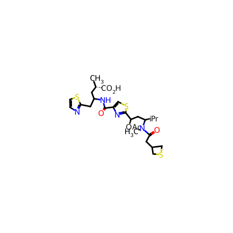 CC(=O)OC(CC(C(C)C)N(C)C(=O)CC1CSC1)c1nc(C(=O)NC(Cc2nccs2)C[C@H](C)C(=O)O)cs1